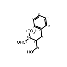 O=CN(C(=O)O)C(CO)Cc1ccccc1